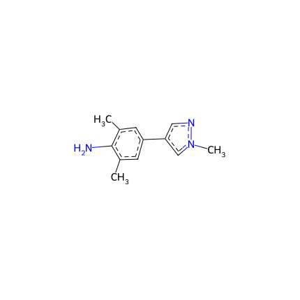 Cc1cc(-c2cnn(C)c2)cc(C)c1N